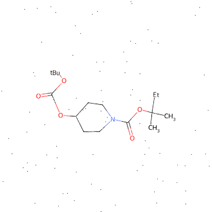 CCC(C)(C)OC(=O)N1CCC(OC(=O)OC(C)(C)C)CC1